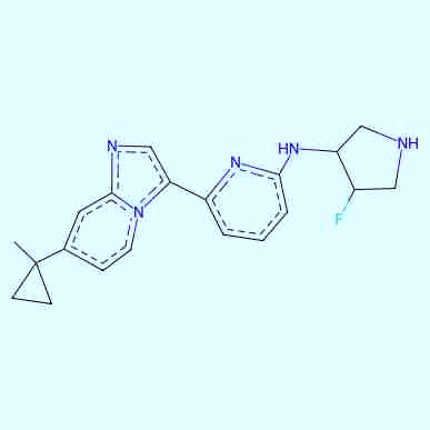 CC1(c2ccn3c(-c4cccc(NC5CNCC5F)n4)cnc3c2)CC1